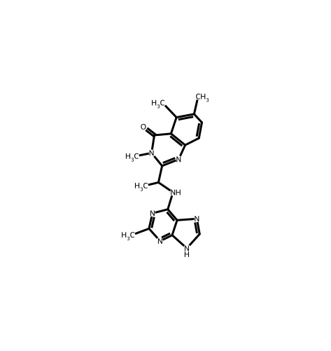 Cc1nc(NC(C)c2nc3ccc(C)c(C)c3c(=O)n2C)c2nc[nH]c2n1